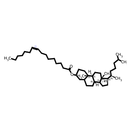 CCCCCC/C=C\CCCCCCCC(=O)OC1CC[C@@]2(C)C(CC[C@H]3[C@@H]4CC[C@H]([C@H](C)CCCC(C)C)[C@@]4(C)CC[C@@H]32)C1